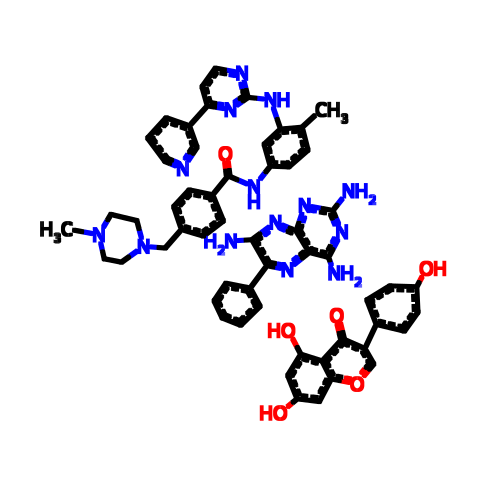 Cc1ccc(NC(=O)c2ccc(CN3CCN(C)CC3)cc2)cc1Nc1nccc(-c2cccnc2)n1.Nc1nc(N)c2nc(-c3ccccc3)c(N)nc2n1.O=c1c(-c2ccc(O)cc2)coc2cc(O)cc(O)c12